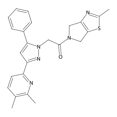 Cc1nc2c(s1)CN(C(=O)Cn1nc(-c3ccc(C)c(C)n3)cc1-c1ccccc1)C2